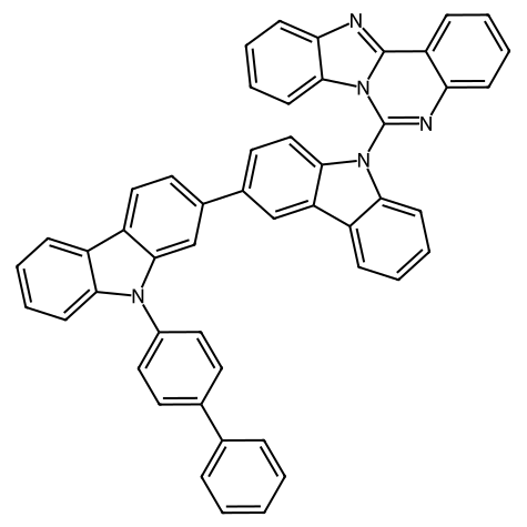 c1ccc(-c2ccc(-n3c4ccccc4c4ccc(-c5ccc6c(c5)c5ccccc5n6-c5nc6ccccc6c6nc7ccccc7n56)cc43)cc2)cc1